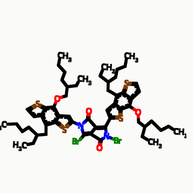 CCCCC(CC)COc1c2cc(N3C(=O)C4=C(c5cc6c(CC(CC)CCCC)c7sccc7c(OCC(CC)CCCC)c6s5)N(Br)C(=O)C4=C3Br)sc2c(CC(CC)CCCC)c2ccsc12